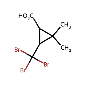 CC1(C)C(C(=O)O)C1C(Br)(Br)Br